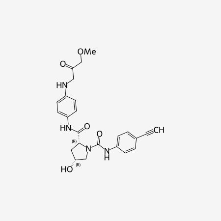 C#Cc1ccc(NC(=O)N2C[C@H](O)C[C@@H]2C(=O)Nc2ccc(NCC(=O)COC)cc2)cc1